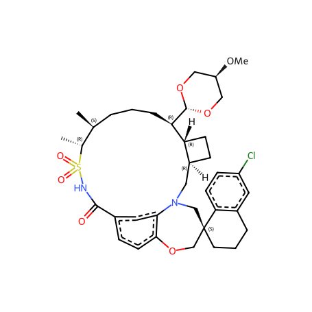 CO[C@H]1CO[C@H]([C@@H]2CCC[C@H](C)[C@@H](C)S(=O)(=O)NC(=O)c3ccc4c(c3)N(C[C@@H]3CC[C@H]32)C[C@@]2(CCCc3cc(Cl)ccc32)CO4)OC1